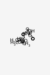 COC(=O)C(Cc1cccc(CC(NC(=O)OCc2ccccc2)C(=O)O)c1)NC(=O)OC(C)(C)C